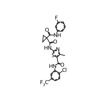 Cc1nc(NC(=O)C2(C(=O)Nc3cccc(F)c3)CC2)sc1C(=O)Nc1cc(C(F)(F)F)ccc1Cl